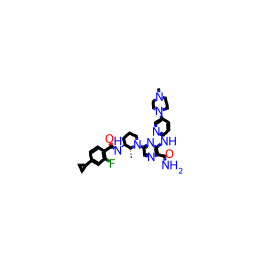 C[C@@H]1[C@H](NC(=O)c2ccc(C3CC3)cc2F)CCCN1c1cnc(C(N)=O)c(Nc2ccc(N3CCN(C)CC3)cn2)n1